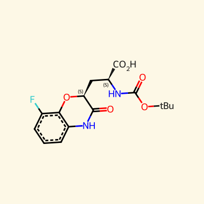 CC(C)(C)OC(=O)N[C@@H](C[C@@H]1Oc2c(F)cccc2NC1=O)C(=O)O